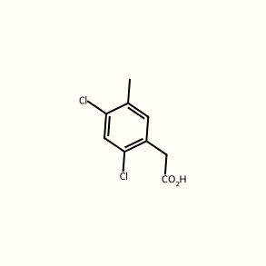 Cc1cc(CC(=O)O)c(Cl)cc1Cl